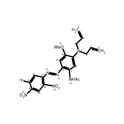 C=CCN(CC=C)c1cc(NC(C)=O)c(/N=N/c2cc(F)c([N+](=O)[O-])cc2[N+](=O)[O-])cc1OC